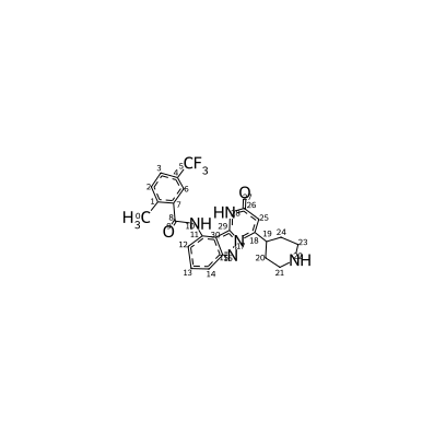 Cc1ccc(C(F)(F)F)cc1C(=O)Nc1cccc2nn3c(C4CCNCC4)cc(=O)[nH]c3c12